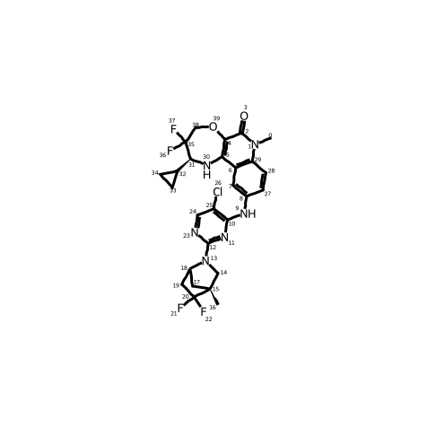 Cn1c(=O)c2c(c3cc(Nc4nc(N5C[C@@]6(C)CC5CC6(F)F)ncc4Cl)ccc31)N[C@@H](C1CC1)C(F)(F)CO2